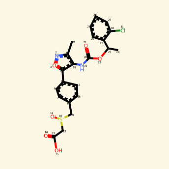 Cc1noc(-c2ccc(C[S+]([O-])CC(=O)O)cc2)c1NC(=O)OC(C)c1ccccc1Cl